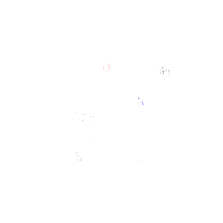 CC(C)N1CCCc2sccc2C1=O